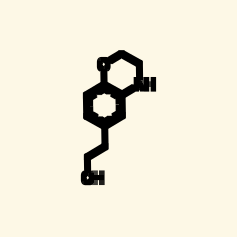 OCCc1ccc2c(c1)NCCO2